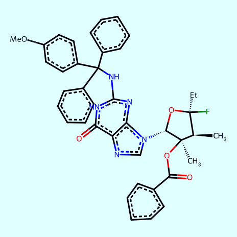 CC[C@@]1(F)O[C@@H](n2cnc3c(=O)[nH]c(NC(c4ccccc4)(c4ccccc4)c4ccc(OC)cc4)nc32)[C@](C)(OC(=O)c2ccccc2)[C@@H]1C